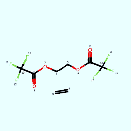 C=C.O=C(OCCOC(=O)C(F)(F)F)C(F)(F)F